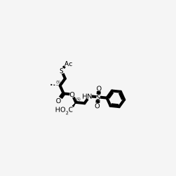 CC(=O)SC[C@@H](C)C(=O)O[C@@H](CNS(=O)(=O)c1ccccc1)C(=O)O